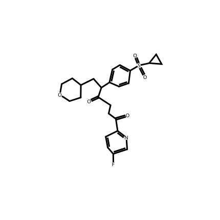 O=C(CCC(=O)C(CC1CCOCC1)c1ccc(S(=O)(=O)C2CC2)cc1)c1ccc(F)cn1